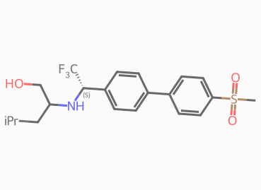 CC(C)CC(CO)N[C@@H](c1ccc(-c2ccc(S(C)(=O)=O)cc2)cc1)C(F)(F)F